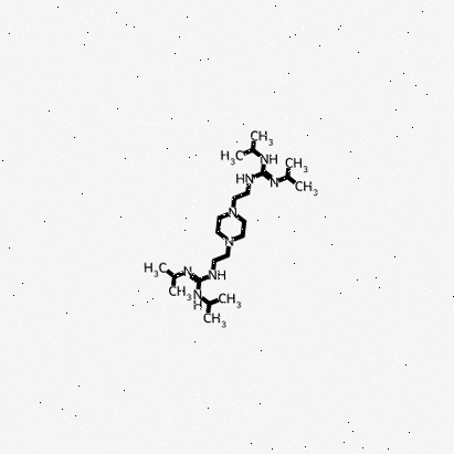 CC(C)N=C(NCCN1CCN(CCNC(=NC(C)C)NC(C)C)CC1)NC(C)C